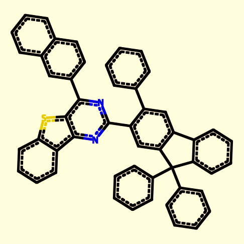 c1ccc(-c2cc3c(cc2-c2nc(-c4ccc5ccccc5c4)c4sc5ccccc5c4n2)C(c2ccccc2)(c2ccccc2)c2ccccc2-3)cc1